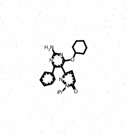 CC(C)n1nc(-c2c(OC3CCCCC3)nc(N)nc2-c2ccccc2)ccc1=O